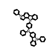 c1ccc(N(c2ccc(-n3c4ccccc4c4ccc5c(ccn5-c5ccccc5)c43)cc2)c2ccc3c(c2)c2ccccc2n3-c2ccccc2)cc1